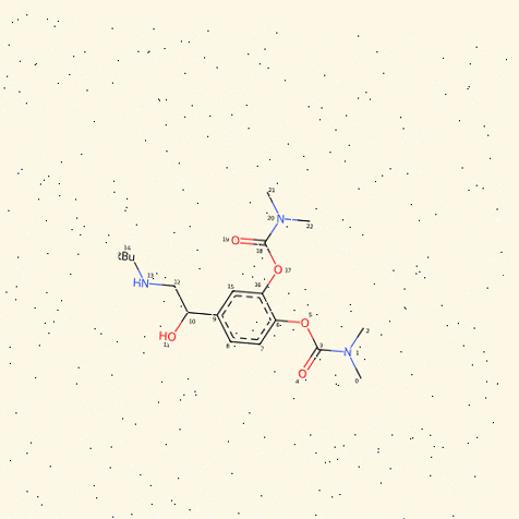 CN(C)C(=O)Oc1ccc(C(O)CNC(C)(C)C)cc1OC(=O)N(C)C